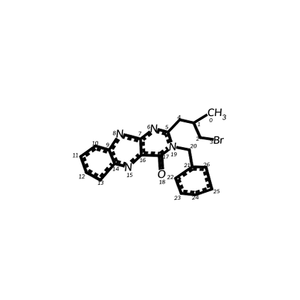 CC(CBr)Cc1nc2nc3ccccc3nc2c(=O)n1Cc1ccccc1